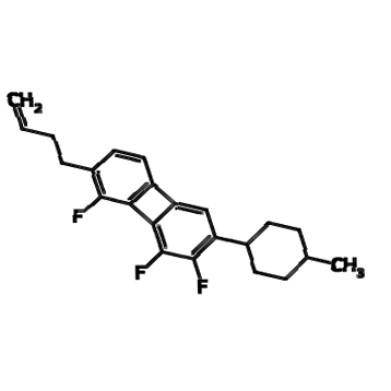 C=CCCc1ccc2c(c1F)-c1c-2cc(C2CCC(C)CC2)c(F)c1F